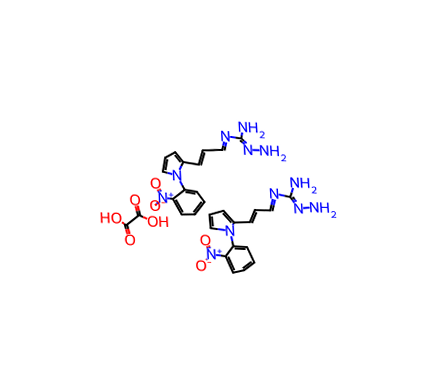 NN=C(N)N=CC=Cc1cccn1-c1ccccc1[N+](=O)[O-].NN=C(N)N=CC=Cc1cccn1-c1ccccc1[N+](=O)[O-].O=C(O)C(=O)O